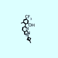 Cc1cc(C(F)(F)F)cc(O)c1-c1ccc2cn(C34CC(C)(C3)C4)nc2n1